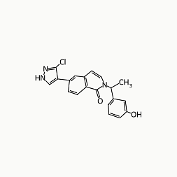 CC(c1cccc(O)c1)n1ccc2cc(-c3c[nH]nc3Cl)ccc2c1=O